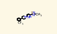 Cc1nsc(-c2ccc(N3CCC(c4cccc(C(F)(F)F)c4)CC3)nn2)n1